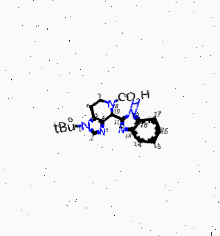 CC(C)(C)n1cnc2c1CCN(C(=O)O)C2c1nc2ccccc2[nH]1